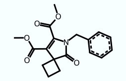 COC(=O)C1=C(C(=O)OC)C2(CCC2)C(=O)N1Cc1ccccc1